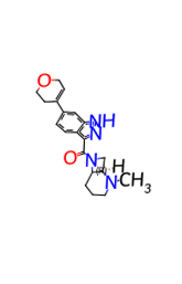 CN1CCCC2[C@H]1CN2C(=O)c1n[nH]c2cc(C3=CCOCC3)ccc12